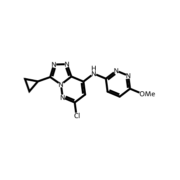 COc1ccc(Nc2cc(Cl)nn3c(C4CC4)nnc23)nn1